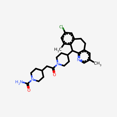 Cc1cnc2c(c1)CCc1cc(Cl)cc(C)c1C2C1CCN(C(=O)CC2CCN(C(N)=O)CC2)CC1